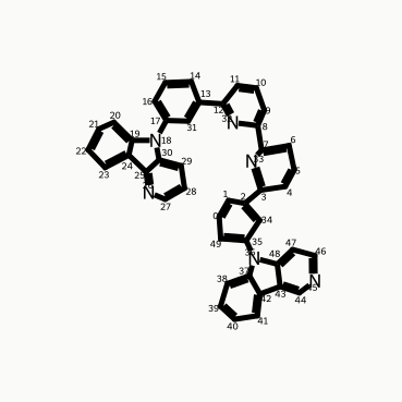 c1cc(-c2cccc(-c3cccc(-c4cccc(-n5c6ccccc6c6ncccc65)c4)n3)n2)cc(-n2c3ccccc3c3cnccc32)c1